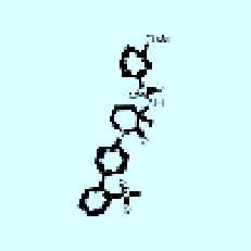 COc1cccc(S(=O)(=O)NC2(F)CCCN(c3ccc(-c4ccccc4S(C)(=O)=O)cc3)C2=O)c1